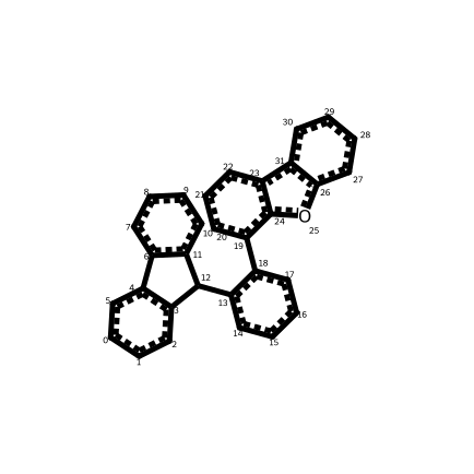 c1ccc2c(c1)-c1ccccc1C2c1ccccc1-c1cccc2c1oc1ccccc12